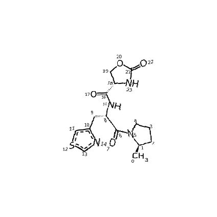 C[C@@H]1CCCN1C(=O)[C@H](Cc1cscn1)NC(=O)[C@@H]1COC(=O)N1